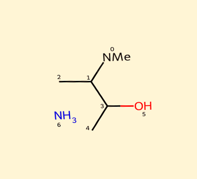 CNC(C)C(C)O.N